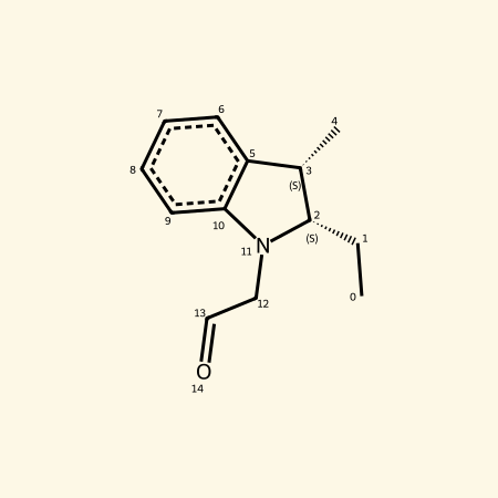 CC[C@H]1[C@@H](C)c2ccccc2N1CC=O